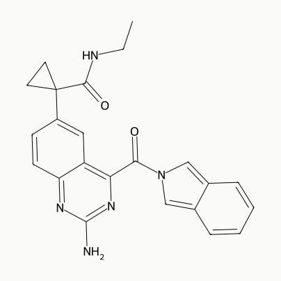 CCNC(=O)C1(c2ccc3nc(N)nc(C(=O)n4cc5ccccc5c4)c3c2)CC1